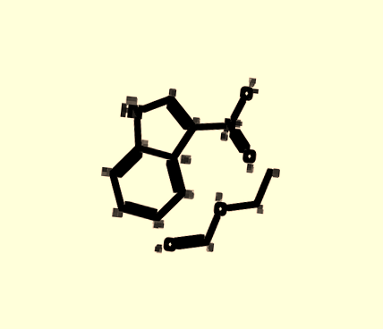 CCOC=O.O=[N+]([O-])c1c[nH]c2ccccc12